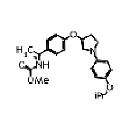 COC(=O)N[C@@H](C)c1ccc(OC2CCN(c3ccc(OC(C)C)cc3)C2)cc1